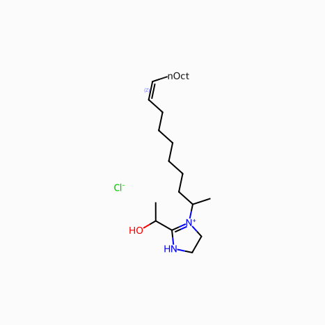 CCCCCCCC/C=C\CCCCCCC(C)[N+]1=C(C(C)O)NCC1.[Cl-]